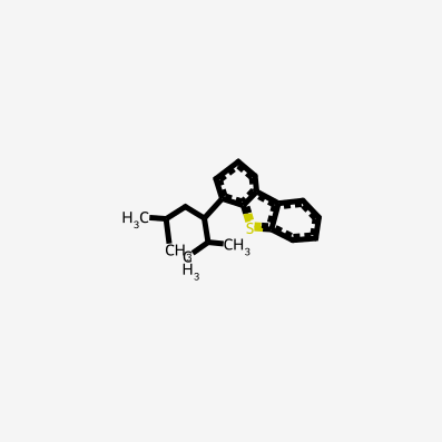 CC(C)CC(c1cccc2c1sc1ccccc12)C(C)C